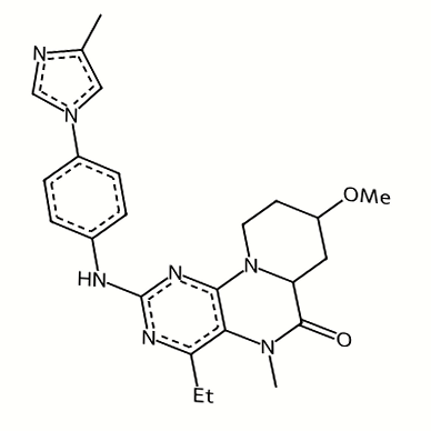 CCc1nc(Nc2ccc(-n3cnc(C)c3)cc2)nc2c1N(C)C(=O)C1CC(OC)CCN21